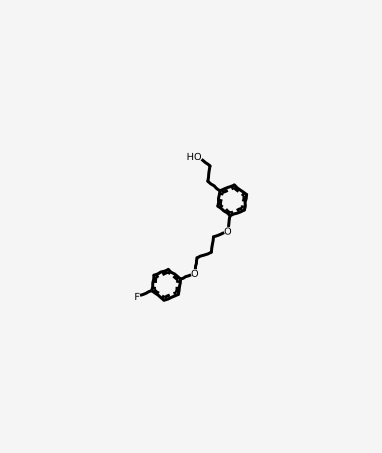 OCCc1cccc(OCCCOc2ccc(F)cc2)c1